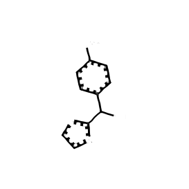 CSc1ccc(C(O)c2nccs2)cc1